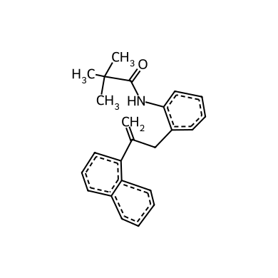 C=C(Cc1ccccc1NC(=O)C(C)(C)C)c1cccc2ccccc12